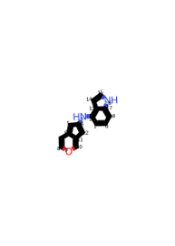 c1cc(Nc2cc3ccocc-3c2)c2cc[nH]c2c1